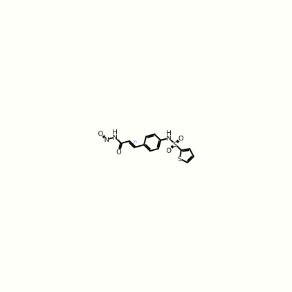 O=NNC(=O)/C=C/c1ccc(NS(=O)(=O)c2cccs2)cc1